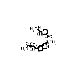 C[C@H](N)C(=O)N1CCC[C@@H](C(=O)O[C@H](C)c2cc3cc(CCC(C)(C)C(N)=O)ccc3cn2)N1